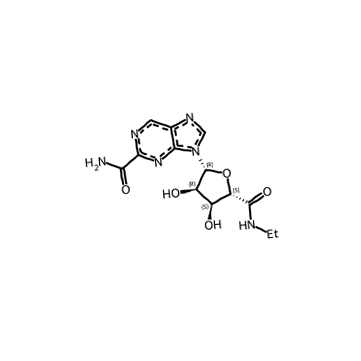 CCNC(=O)[C@H]1O[C@@H](n2cnc3cnc(C(N)=O)nc32)[C@H](O)[C@@H]1O